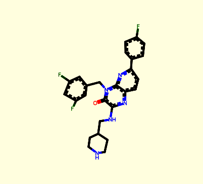 O=c1c(NCC2CCNCC2)nc2ccc(-c3ccc(F)cc3)nc2n1Cc1cc(F)cc(F)c1